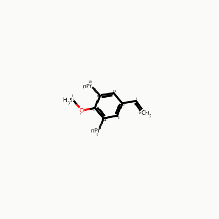 C=Cc1cc(CCC)c(O[SiH3])c(CCC)c1